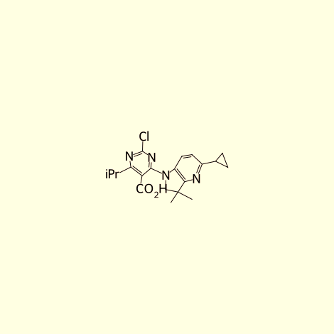 CC(C)c1nc(Cl)nc(N2CC(C)(C)c3nc(C4CC4)ccc32)c1C(=O)O